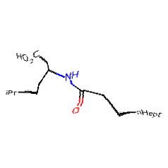 CCCCCCCCCC(=O)NC(CC(C)C)C(=O)O